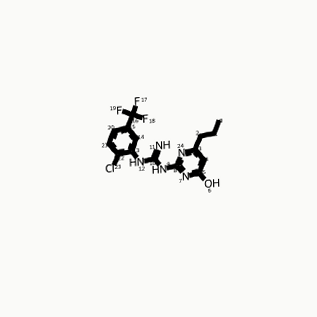 CCCc1cc(O)nc(NC(=N)Nc2cc(C(F)(F)F)ccc2Cl)n1